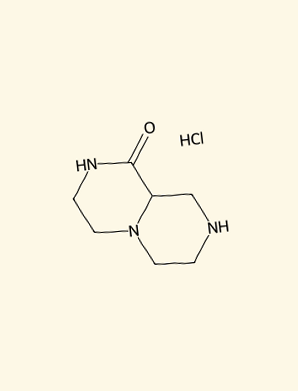 Cl.O=C1NCCN2CCNCC12